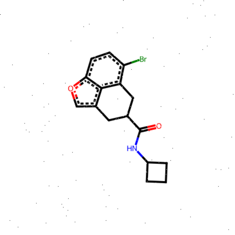 O=C(NC1CCC1)C1Cc2coc3ccc(Br)c(c23)C1